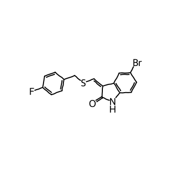 O=C1Nc2ccc(Br)cc2C1=CSCc1ccc(F)cc1